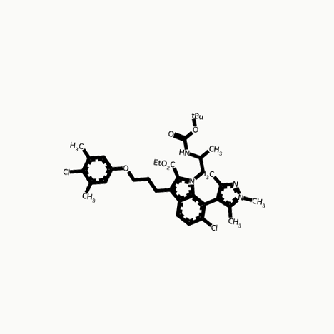 CCOC(=O)c1c(CCCOc2cc(C)c(Cl)c(C)c2)c2ccc(Cl)c(-c3c(C)nn(C)c3C)c2n1CC(C)NC(=O)OC(C)(C)C